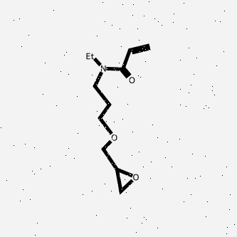 C=CC(=O)N(CC)CCCOCC1CO1